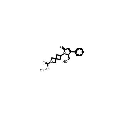 CC(C)(C)OC(=O)N1CC2(CC(N3C(=O)C=C(c4ccccc4)C3CO)C2)C1